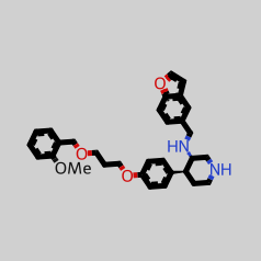 COc1ccccc1COCCCOc1ccc([C@@H]2CCNC[C@@H]2NCc2ccc3occc3c2)cc1